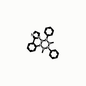 CB1N(c2ccccc2)B(C)N2B(N1c1ccccc1)n1ccnc1-c1ccccc12